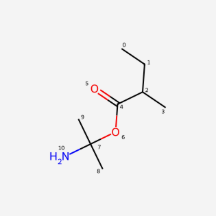 CCC(C)C(=O)OC(C)(C)N